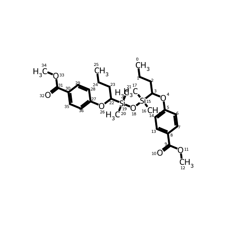 CCCC(Oc1ccc(C(=O)OC)cc1)[Si](C)(C)O[Si](C)(C)C(CCC)Oc1ccc(C(=O)OC)cc1